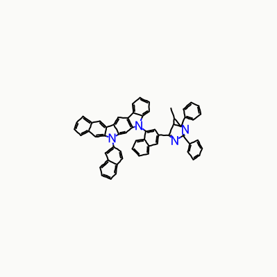 CC1C2C(c3cc(-n4c5ccccc5c5cc6c7cc8ccccc8cc7n(-c7ccc8ccccc8c7)c6cc54)c4ccccc4c3)=NC(c3ccccc3)=NC12c1ccccc1